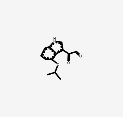 CC(C)Oc1cccc2[nH]cc(C(=O)C=O)c12